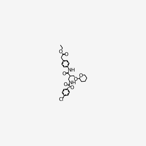 CCOC(=O)Cc1ccc(NC(=O)C(CNS(=O)(=O)c2ccc(Cl)cc2)COC2CCCCO2)cc1